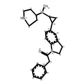 CN(C1CCNCC1)C1CC1c1ccc2c(c1)CCN2C(=O)Cc1ccccc1